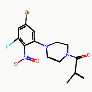 CC(C)C(=O)N1CCN(c2cc(Br)cc(F)c2[N+](=O)[O-])CC1